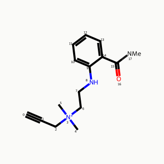 C#CC[N+](C)(C)CCNc1ccccc1C(=O)NC